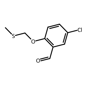 CSCOc1ccc(Cl)cc1C=O